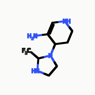 NC1=CNCCC1N1CCNC1C(F)(F)F